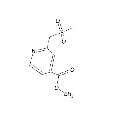 BOC(=O)c1ccnc(CS(C)(=O)=O)c1